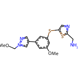 COCn1cc(-c2cc(OC)cc(Sc3cnc(CN)s3)c2)cn1